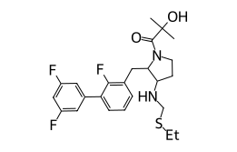 CCSCNC1CCN(C(=O)C(C)(C)O)C1Cc1cccc(-c2cc(F)cc(F)c2)c1F